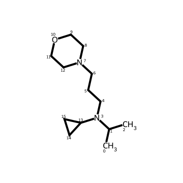 CC(C)N(CCCN1CCOCC1)C1CC1